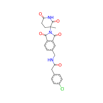 CC1(N2C(=O)c3ccc(CNC(=O)Cc4ccc(Cl)cc4)cc3C2=O)CCC(=O)NC1=O